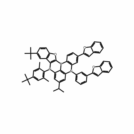 Cc1cc(C(C)(C)C)cc(C)c1N1c2cc(C(C)C)cc3c2B(c2ccc(-c4cc5ccccc5o4)cc2N3c2cccc(-c3cc4ccccc4o3)c2)c2oc3ccc(C(C)(C)C)cc3c21